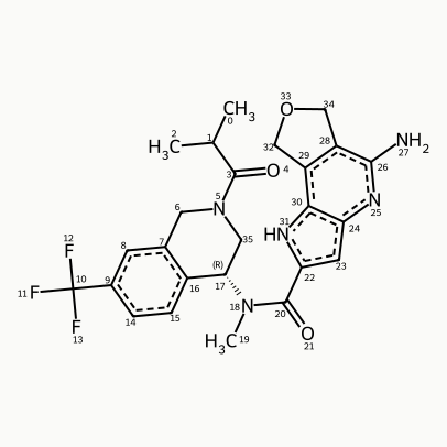 CC(C)C(=O)N1Cc2cc(C(F)(F)F)ccc2[C@@H](N(C)C(=O)c2cc3nc(N)c4c(c3[nH]2)COC4)C1